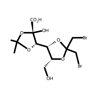 CC1(C)O[C@@H]([C@@H]2OC(CBr)(CBr)O[C@@H]2CO)[C@](O)(C(=O)O)O1